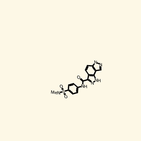 CNS(=O)(=O)c1ccc(NC(=O)c2n[nH]c3c4c(ccc23)[N]N=C4)cc1